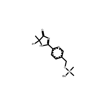 CC(C)C1(C)NC(c2ccc(CO[Si](C)(C)C(C)(C)C)cn2)=NC1=O